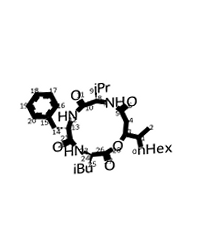 CCCCCCC(C)C1CC(=O)N[C@@H](C(C)C)C(=O)N[C@@H](Cc2ccccc2)C(=O)N[C@H]([C@H](C)CC)C(=O)O1